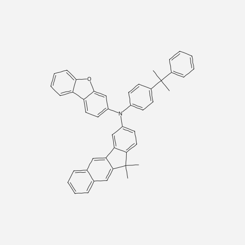 CC(C)(c1ccccc1)c1ccc(N(c2ccc3c(c2)-c2cc4ccccc4cc2C3(C)C)c2ccc3c(c2)oc2ccccc23)cc1